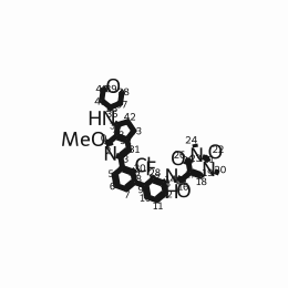 COc1nc(-c2cccc(-c3cccc(NC(=O)c4cn(C)c(=O)n(C)c4=O)c3F)c2Cl)cc2c1C(NC1CCOCC1)CC2